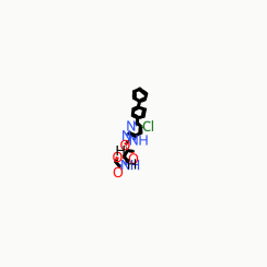 O=C1CO[C@@H]2[C@H](Oc3nc4nc(-c5ccc(-c6ccccc6)cc5)c(Cl)cc4[nH]3)CO[C@@H]2N1